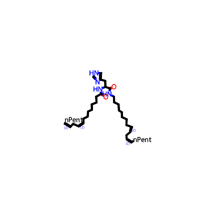 CCCCC/C=C\C/C=C\CCCCCCCCNC(=O)C(Cc1c[nH]cn1)NC(=O)CCCCCCC/C=C\C/C=C\CCCCC